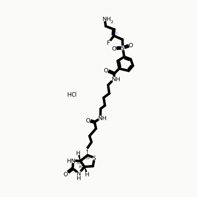 Cl.NC/C=C(\F)CS(=O)(=O)c1cccc(C(=O)NCCCCCNC(=O)CCCC[C@@H]2SC[C@@H]3NC(=O)N[C@@H]32)c1